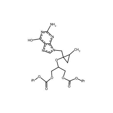 CC(C)OC(=O)OC[C](COC(=O)OC(C)C)OC1(Cn2cnc3c(O)nc(N)nc32)CC1C